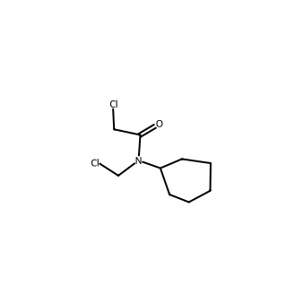 O=C(CCl)N(CCl)C1CCCCC1